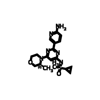 C[C@@H]1COCCN1c1cc(N=S(C)(=O)C2CC2)nc(-c2ccc(N)nc2)n1